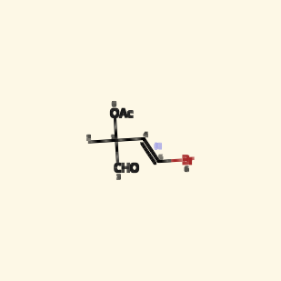 CC(=O)OC(C)(C=O)/C=C/Br